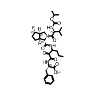 CCCC(NC(=O)[C@@H]1[C@H]2CC[C@H](F)[C@H]2CN1C(=O)[C@@H](NC(=O)OC(C)C)C(C)C)C(=O)C(=O)N[C@@H](Cc1ccccc1)C(=O)O